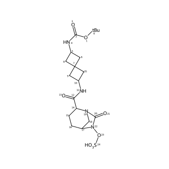 CC(C)(C)OC(=O)NC1CC2(C1)CC(NC(=O)C1CCC3CN1C(=O)N3OS(=O)(=O)O)C2